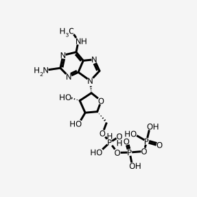 CNc1nc(N)nc2c1ncn2[C@@H]1O[C@H](CO[PH](O)(O)OP(=O)(O)OP(=O)(O)O)C(O)[C@@H]1O